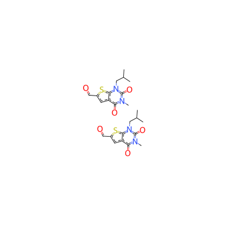 CC(C)Cn1c(=O)n(C)c(=O)c2cc(C=O)sc21.CC(C)Cn1c(=O)n(C)c(=O)c2cc(C=O)sc21